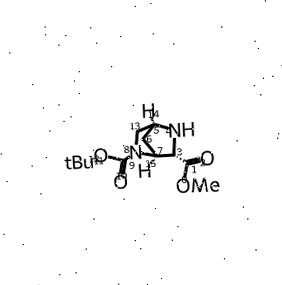 COC(=O)[C@H]1N[C@H]2C[C@@H]1N(C(=O)OC(C)(C)C)C2